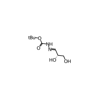 CC(C)(C)OC(=O)NN=C[C@@H](O)CO